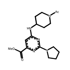 COC(=O)c1cc(NC2CCN(C(C)=O)CC2)nc(N2CCCC2)n1